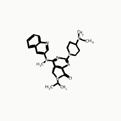 CC(C)N1Cc2c(nc(N3CCC(N(C)C)CC3)nc2N(C)c2cnc3ccccc3c2)C1=O